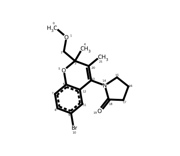 COCC1(C)Oc2ccc(Br)cc2C(N2CCCC2=O)=C1C